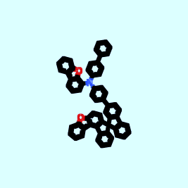 c1ccc(-c2ccc(N(c3ccc(-c4ccc5c(c4)C4(c6ccccc6-5)c5ccccc5-c5c4ccc4oc6ccccc6c54)cc3)c3cccc4c3oc3ccccc34)cc2)cc1